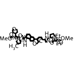 CC[C@H]1CC[C@@H](c2ncc(-c3ccc4c(c3)COc3cc5c(ccc6nc([C@@H]7C[C@H](C)CN7C(=O)[C@@H](NC(=O)OC)C7CCOCC7)[nH]c65)cc3-4)[nH]2)N1C(=O)[C@@H](NC(=O)OC)C(C)C